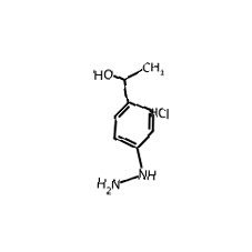 CC(O)c1ccc(NN)cc1.Cl